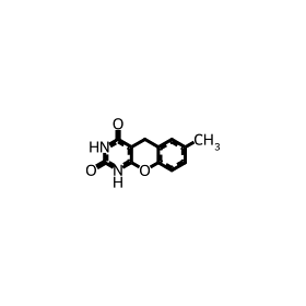 Cc1ccc2c(c1)Cc1c([nH]c(=O)[nH]c1=O)O2